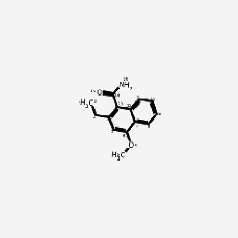 [CH2]Cc1cc(OC)c2ccccc2c1C(N)=O